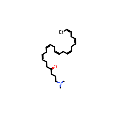 CC/C=C\C/C=C\C/C=C\C/C=C\C/C=C\C/C=C\CCC(=O)CCCN(C)C